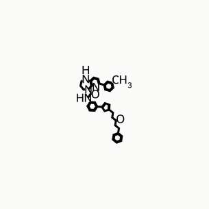 Cc1cccc(-c2ccc3c(n2)N(C(=O)Nc2cccc(C4=CC=C(CCC(=O)CCc5ccccc5)C4)c2)CCCN3)c1